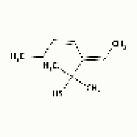 C/C=C(\C=C/CC)C(C)(C)S